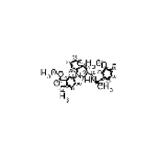 COC(=O)c1cc(N2CC(CN[C@H](C)c3ccc(F)c(OC)c3)Cc3ccccc32)ccc1C